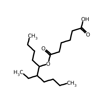 CCCCC(CC)C(CCCC)OC(=O)CCCCC(=O)O